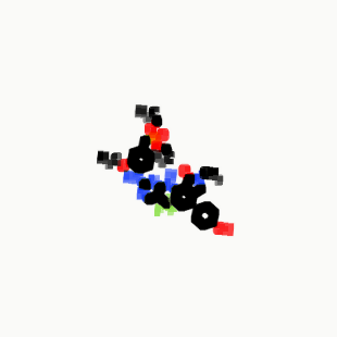 CCOP(=O)(Cc1ccc(Nc2ncc(C(F)(F)F)c(Nc3ccc([C@H]4CC[C@H](O)CC4)c4c3C(=O)N(C)C4)n2)c(OC)c1)OCC